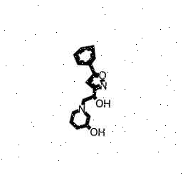 OC1CCCN(CC(O)c2cc(-c3ccccc3)on2)C1